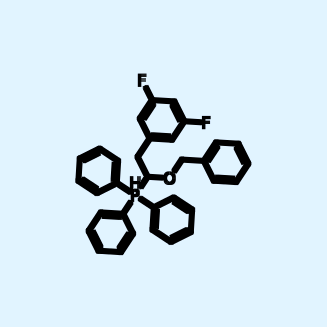 Fc1cc(F)cc(CC(OCc2ccccc2)[PH](c2ccccc2)(c2ccccc2)c2ccccc2)c1